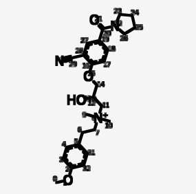 COc1ccc(CC[N+](C)(C)C[C@@H](O)COc2ccc(C(=O)N3CCCC3)cc2C#N)cc1